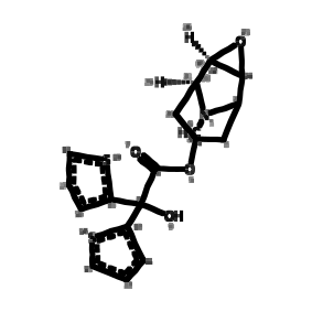 CN1C2CC(OC(=O)C(O)(c3cccs3)c3cccs3)C[C@H]1[C@H]1OC21